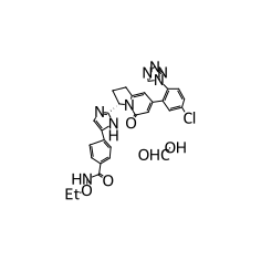 CCONC(=O)c1ccc(-c2cnc([C@@H]3CCc4cc(-c5cc(Cl)ccc5-n5cnnn5)cc(=O)n43)[nH]2)cc1.O=CO